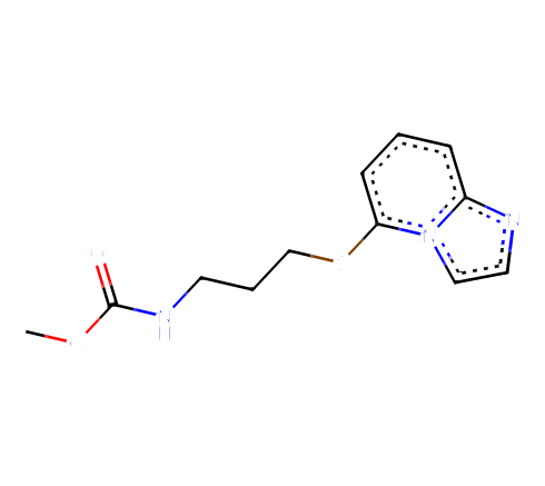 COC(=O)NCCCSc1cccc2nccn12